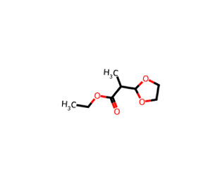 CCOC(=O)C(C)C1OCCO1